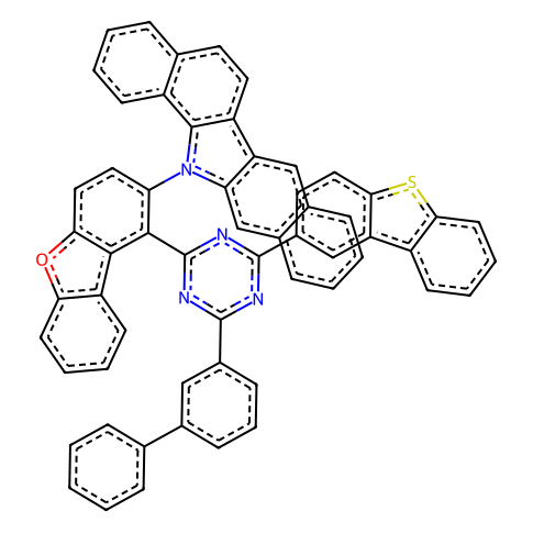 c1ccc(-c2cccc(-c3nc(-c4ccc5sc6ccccc6c5c4)nc(-c4c(-n5c6cc7ccccc7cc6c6ccc7ccccc7c65)ccc5oc6ccccc6c45)n3)c2)cc1